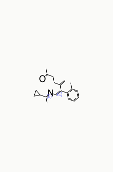 C=C(CCC(C)=O)/C(=C\N=C(/C)C1CC1)c1ccccc1C